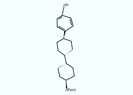 CCCCC[C@H]1CC[C@H]([C@H]2CC[C@H](c3ccc(CCC)cc3)CC2)CC1